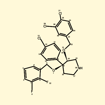 Fc1cccc(CO[C@]2(c3ccc(Cl)cc3)CCNC[C@@H]2OCc2ccc(Cl)c(Cl)c2)c1F